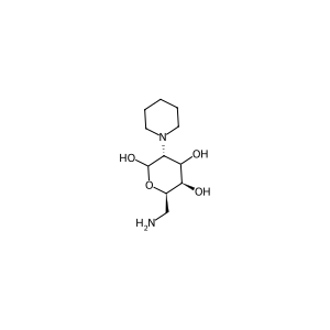 NC[C@H]1OC(O)[C@H](N2CCCCC2)C(O)[C@H]1O